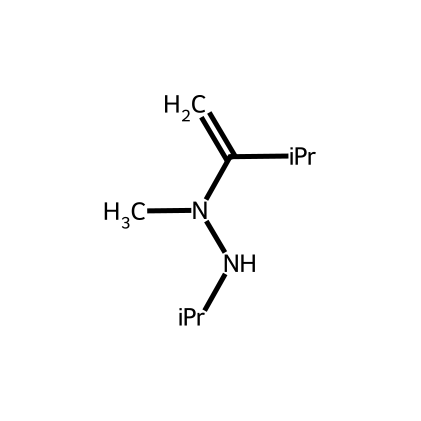 C=C(C(C)C)N(C)NC(C)C